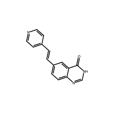 O=c1[nH]cnc2ccc(C=Cc3ccncc3)cc12